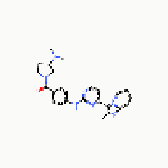 Cc1nc2ccccn2c1-c1ccnc(Nc2ccc(C(=O)N3CCC(N(C)C)C3)cc2)n1